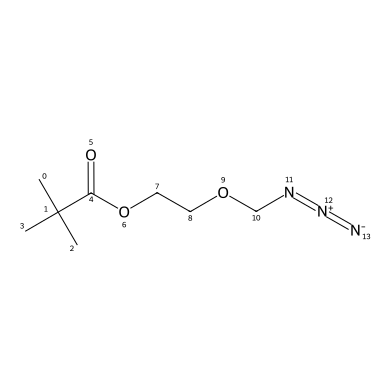 CC(C)(C)C(=O)OCCOCN=[N+]=[N-]